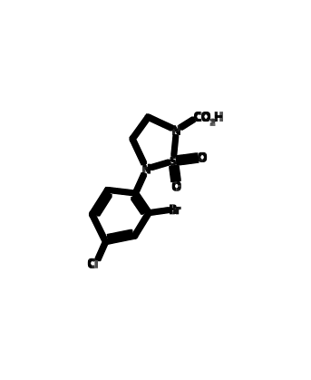 O=C(O)N1CCN(c2ccc(Cl)cc2Br)S1(=O)=O